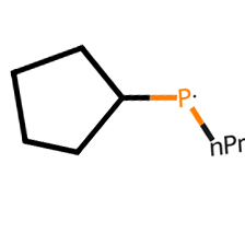 CCC[P]C1CCCC1